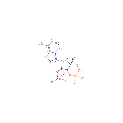 CCCC(=O)O[C@@H]1[C@@H]2OP(O)(=S)OC[C@H]2O[C@H]1n1cnc2c(N)ncnc21